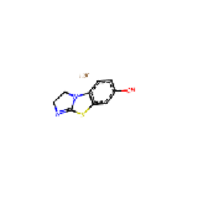 Br.Oc1ccc2c(c1)SC1=NCCN12